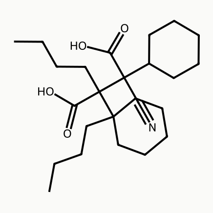 CCCCC1(C(CCCC)(C(=O)O)C(C#N)(C(=O)O)C2CCCCC2)CCCCC1